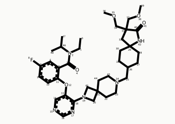 CCN(C(=O)c1cc(F)ccc1Oc1cncnc1N1CC2(CCN(CC3CCC4(CC3)CC(COC)(COC)C(=O)N4)CC2)C1)C(C)C